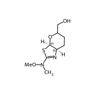 CON(C)C1=N[C@@H]2CCC(CO)O[C@@H]2S1